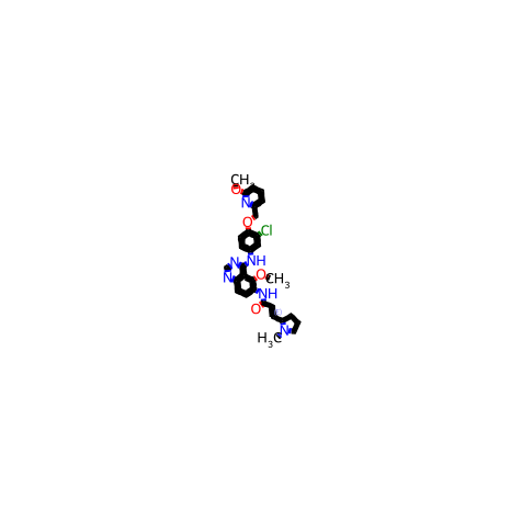 COc1cccc(COc2ccc(Nc3ncnc4ccc(NC(=O)/C=C/C5CCCN5C)c(OC)c34)cc2Cl)n1